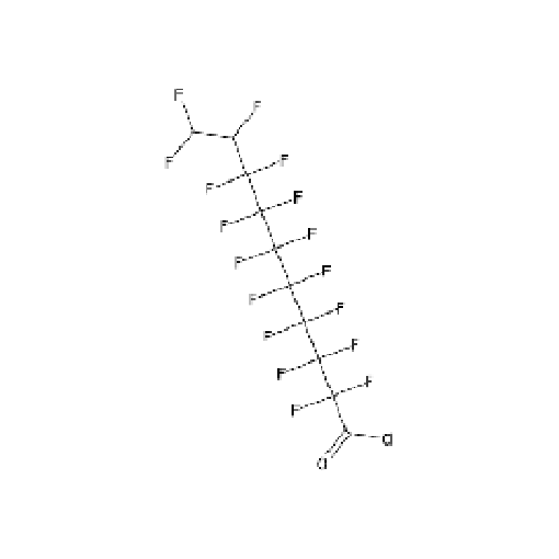 O=C(Cl)C(F)(F)C(F)(F)C(F)(F)C(F)(F)C(F)(F)C(F)(F)C(F)(F)C(F)C(F)F